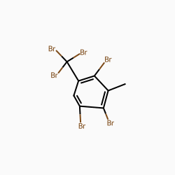 Cc1c(Br)c(Br)cc(C(Br)(Br)Br)c1Br